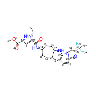 CCn1nc(C(=O)OC)cc1C(=O)NC1CCC(Nc2cccc3nc(C(C)(F)F)cn23)[C@@H](C)CC1